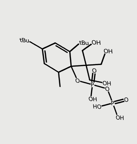 CC1C=C(C(C)(C)C)C=C(C(C)(C)C)C1(OP(=O)(O)OP(=O)(O)O)C(CO)(CO)CO